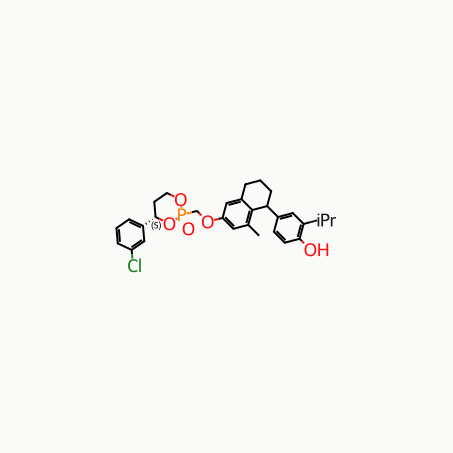 Cc1cc(OCP2(=O)OCC[C@@H](c3cccc(Cl)c3)O2)cc2c1C(c1ccc(O)c(C(C)C)c1)CCC2